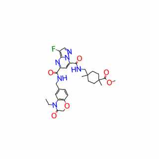 CCN1C(=O)COc2ccc(CNC(=O)c3cc(C(=O)NCC4(C)CCC(C)(C(=O)OC)CC4)n4ncc(F)c4n3)cc21